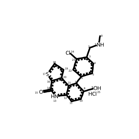 CNCc1ccc(-c2c(O)ccc3[nH]c(=O)c4sccc4c23)cc1Cl.Cl